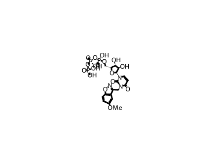 COc1ccc2onc(Cn3c(=O)ccn([C@@H]4O[C@H](COP(=O)(O)OP(=O)(O)OP(=O)(O)O)[C@H](O)[C@@H]4O)c3=O)c2c1